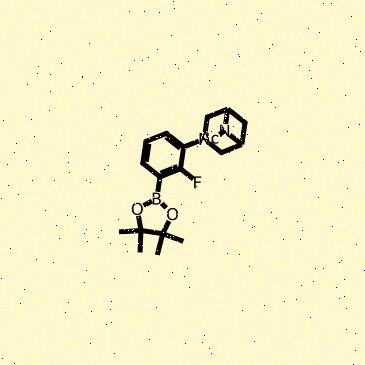 CC(=O)N1C2CC1CN(c1cccc(B3OC(C)(C)C(C)(C)O3)c1F)C2